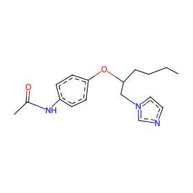 CCCCC(Cn1ccnc1)Oc1ccc(NC(C)=O)cc1